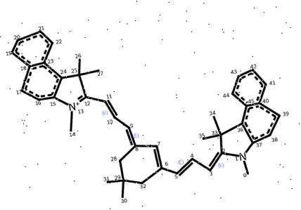 CN1/C(=C/C=C/C2=CC(=C/C=C/C3=[N+](C)c4ccc5ccccc5c4C3(C)C)/CC(C)(C)C2)C(C)(C)c2c1ccc1ccccc21